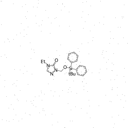 CCn1cnn(CO[Si](c2ccccc2)(c2ccccc2)C(C)(C)C)c1=O